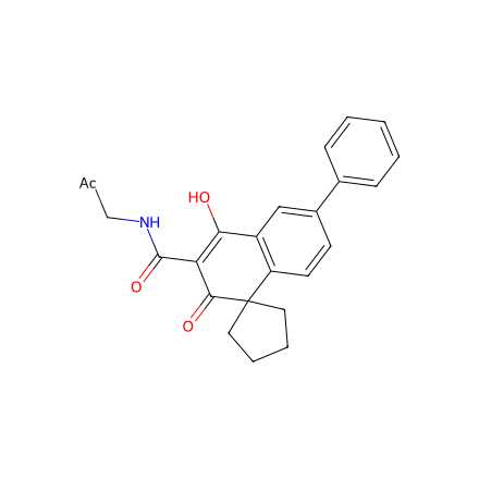 CC(=O)CNC(=O)C1=C(O)c2cc(-c3ccccc3)ccc2C2(CCCC2)C1=O